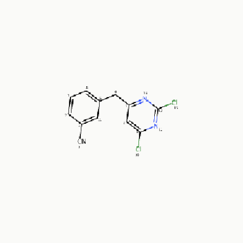 N#Cc1cccc(Cc2cc(Cl)nc(Cl)n2)c1